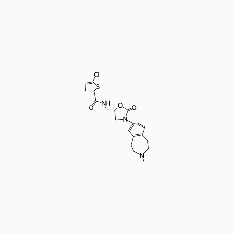 CN1CCc2ccc(N3C[C@H](CNC(=O)c4ccc(Cl)s4)OC3=O)cc2CC1